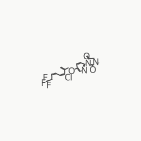 C=C(COc1ccc(N2C(=O)CN(C)C2=O)nc1)/C(Cl)=C\C=C/CC(F)(F)F